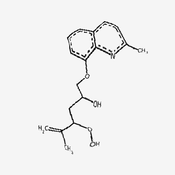 C=C(C)C(CC(O)COc1cccc2ccc(C)nc12)OO